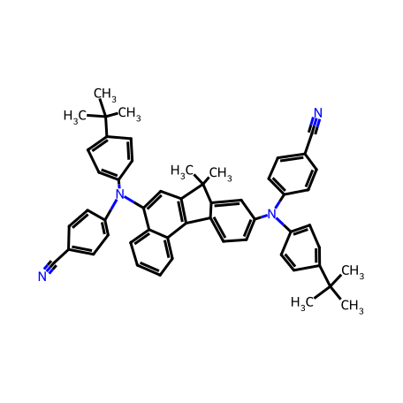 CC(C)(C)c1ccc(N(c2ccc(C#N)cc2)c2ccc3c(c2)C(C)(C)c2cc(N(c4ccc(C#N)cc4)c4ccc(C(C)(C)C)cc4)c4ccccc4c2-3)cc1